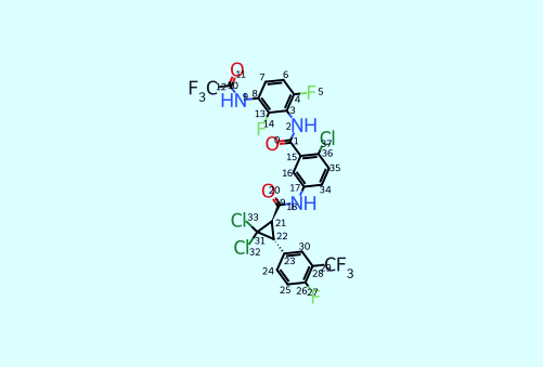 O=C(Nc1c(F)ccc(NC(=O)C(F)(F)F)c1F)c1cc(NC(=O)[C@H]2[C@H](c3ccc(F)c(C(F)(F)F)c3)C2(Cl)Cl)ccc1Cl